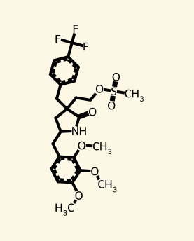 COc1ccc(CC2CC(CCOS(C)(=O)=O)(Cc3ccc(C(F)(F)F)cc3)C(=O)N2)c(OC)c1OC